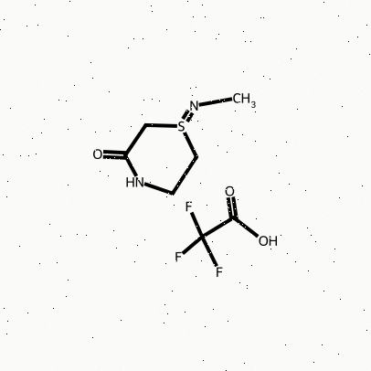 C/N=S1\CCNC(=O)C1.O=C(O)C(F)(F)F